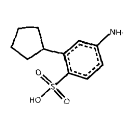 [NH]c1ccc(S(=O)(=O)O)c(C2CCCC2)c1